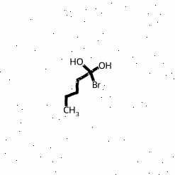 CCCCC(O)(O)Br